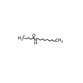 CCCCCCCCCNC(=O)CCCC